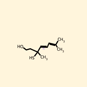 CC(C)=C/C=C/C(C)(S)CCO